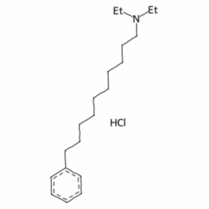 CCN(CC)CCCCCCCCCCc1ccccc1.Cl